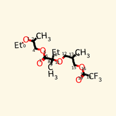 CCOC(C)COC(=O)C(C)(CC)OCC(C)COC(=O)C(F)(F)F